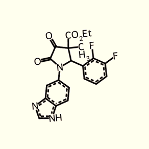 CCOC(=O)C1(C)C(=O)C(=O)N(c2ccc3[nH]cnc3c2)C1c1cccc(F)c1F